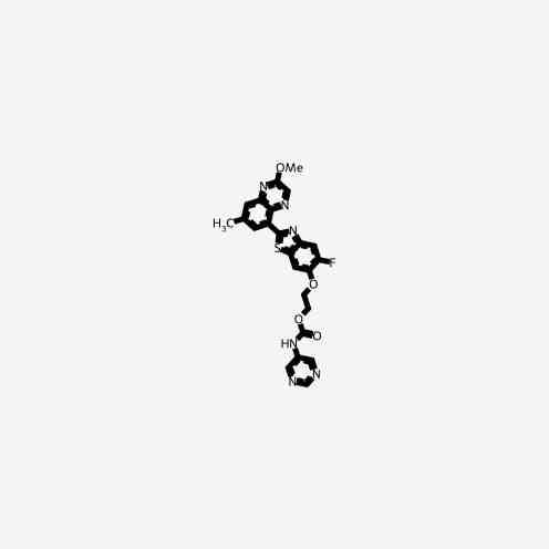 COc1cnc2c(-c3nc4cc(F)c(OCCOC(=O)Nc5cncnc5)cc4s3)cc(C)cc2n1